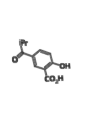 CC(C)C(=O)c1ccc(O)c(C(=O)O)c1